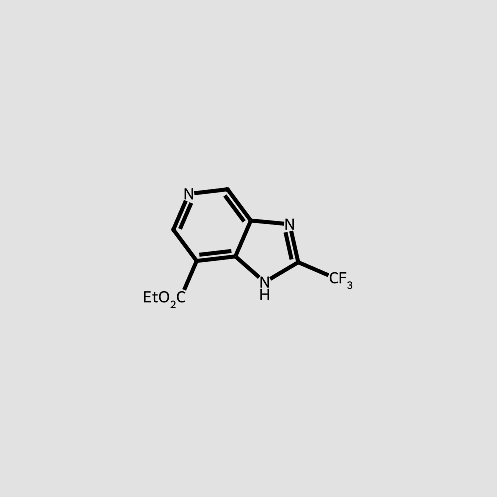 CCOC(=O)c1cncc2nc(C(F)(F)F)[nH]c12